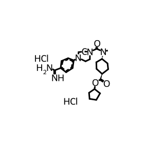 CN(C(=O)N1CCN(c2ccc(C(=N)N)cc2)CC1)[C@H]1CC[C@H](C(=O)OC2CCCC2)CC1.Cl.Cl